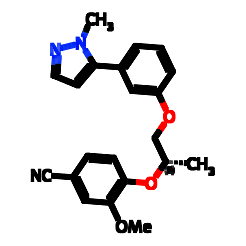 COc1cc(C#N)ccc1O[C@@H](C)COc1cccc(-c2ccnn2C)c1